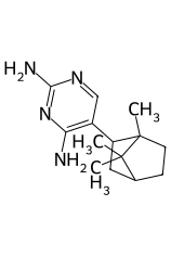 CC1(C)C2CCC1(C)C(c1cnc(N)nc1N)C2